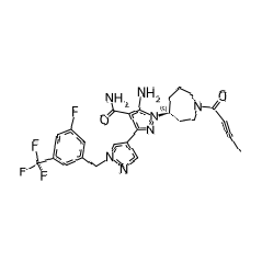 CC#CC(=O)N1CCC[C@H](n2nc(-c3cnn(Cc4cc(F)cc(C(F)(F)F)c4)c3)c(C(N)=O)c2N)CC1